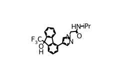 CC(C)NC(=O)Cn1cc(-c2cccc3c2-c2ccccc2C3(O)C(F)(F)F)cn1